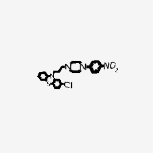 O=[N+]([O-])c1ccc(N2CCN(CCCN3c4ccccc4Sc4ccc(Cl)cc43)CC2)cc1